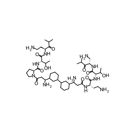 CC(C)C(=O)[C@H](CN)NC(=O)[C@@H](NC(=O)[C@H](CCN)NC(=O)CC(N)C1CCCC(C2CCCC(C(N)CC(=O)N3CCC[C@H]3C(=O)N[C@H](C(=O)N[C@@H](CCN)C(=O)C(C)C)C(C)O)C2)C1)C(C)O